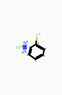 F.Fc1ccccc1.N#N